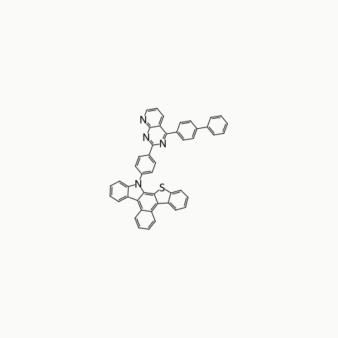 c1ccc(-c2ccc(-c3nc(-c4ccc(-n5c6ccccc6c6c7ccccc7c7c8ccccc8sc7c65)cc4)nc4ncccc34)cc2)cc1